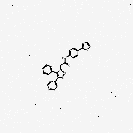 O=C(Cn1nnc(-c2ccncc2)c1-c1ccccc1)Nc1ccc(-c2ccco2)cc1